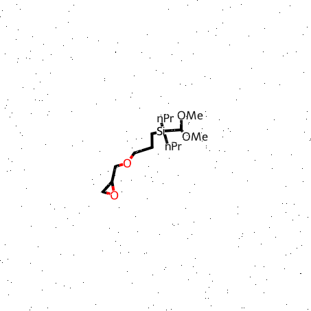 CCC[Si](CCC)(CCCOCC1CO1)C(OC)OC